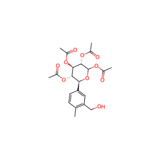 CC(=O)OC1O[C@@H](c2ccc(C)c(CO)c2)[C@H](OC(C)=O)[C@@H](OC(C)=O)[C@@H]1OC(C)=O